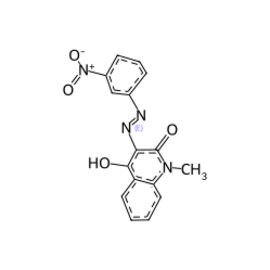 Cn1c(=O)c(/N=N/c2cccc([N+](=O)[O-])c2)c(O)c2ccccc21